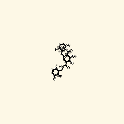 O=C(NCc1c(F)ccc(Cl)c1F)c1cn2c(c(O)c1=O)C(=O)N1[C@H]3CC[C@H](CC3)[C@@H]1C2